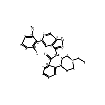 CCN1CCN(c2ccccc2C(=O)Nc2n[nH]c3cnc(-c4c(F)cccc4OC)cc23)CC1